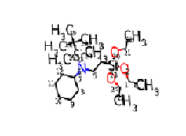 CCO[Si](CCN(C1CCCCC1)[Si](C)(C)C(C)(C)C)(OCC)OCC